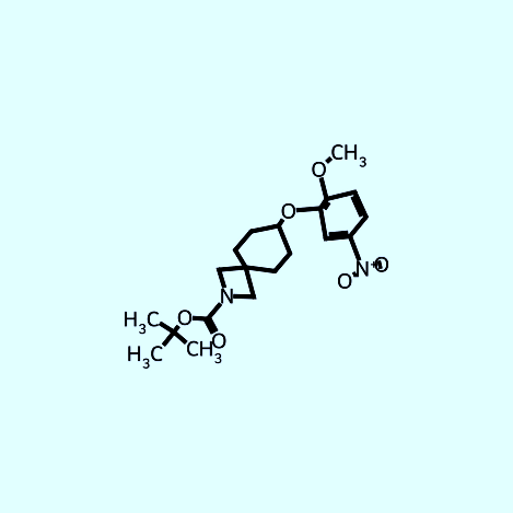 COc1ccc([N+](=O)[O-])cc1OC1CCC2(CC1)CN(C(=O)OC(C)(C)C)C2